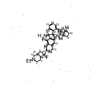 CCN1CC[C@H](CF)[C@](C)(COc2ncc3cc(F)c(C4(N)Sc5cccc(N6C[C@H]7CC[C@@H](C6)N7)c5C4C#N)c(F)c3n2)C1